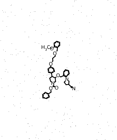 COc1ccccc1COCCCOc1ccc(C2CCN(C(=O)OCc3ccccc3)CC2OCc2ccccc2N2CCC(C#N)C2)cc1